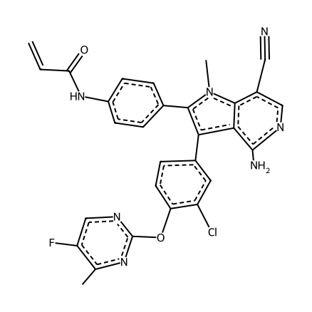 C=CC(=O)Nc1ccc(-c2c(-c3ccc(Oc4ncc(F)c(C)n4)c(Cl)c3)c3c(N)ncc(C#N)c3n2C)cc1